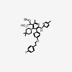 Cc1ccc(Nc2nc(C)c(C(OC(C)(C)C)C(=O)O)c(N3CCC(C)(C)CC3)c2-c2ccc(OCCc3ccc(F)cc3)cc2)nc1